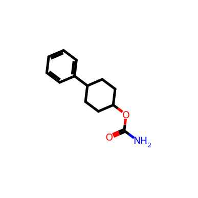 NC(=O)OC1CCC(c2ccccc2)CC1